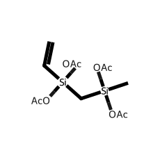 C=C[Si](C[Si](C)(OC(C)=O)OC(C)=O)(OC(C)=O)OC(C)=O